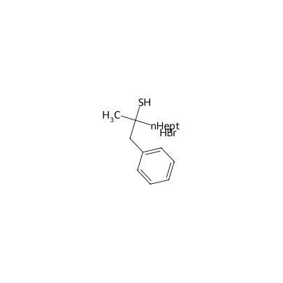 Br.CCCCCCCC(C)(S)Cc1ccccc1